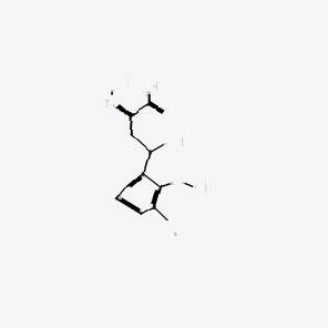 COc1cccc(C(C)C/C(=N/O)C(=O)O)c1OC